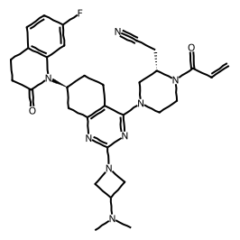 C=CC(=O)N1CCN(c2nc(N3CC(N(C)C)C3)nc3c2CC[C@H](N2C(=O)CCc4ccc(F)cc42)C3)C[C@@H]1CC#N